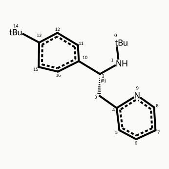 CC(C)(C)N[C@H](Cc1ccccn1)c1ccc(C(C)(C)C)cc1